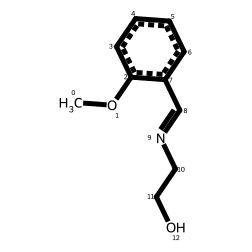 COc1ccccc1C=NCCO